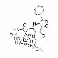 C[C@@H]1CN2c3c(nc4c(-c5ccccn5)noc4c3Cl)CC3(C(=O)NC(=O)NC3=O)[C@H]2[C@H](C)O1